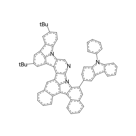 CC(C)(C)c1ccc2c(c1)c1cc(C(C)(C)C)cc3c4c5c6cc7ccccc7c7c8c9ccccc9cc(-c9ccc%10c(c9)c9ccccc9n%10-c9ccccc9)c8n(c5ncc4n2c13)c67